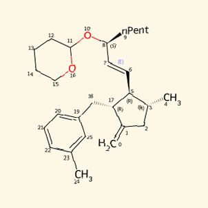 C=C1C[C@@H](C)[C@H](/C=C/[C@H](CCCCC)OC2CCCCO2)[C@H]1Cc1cccc(C)c1